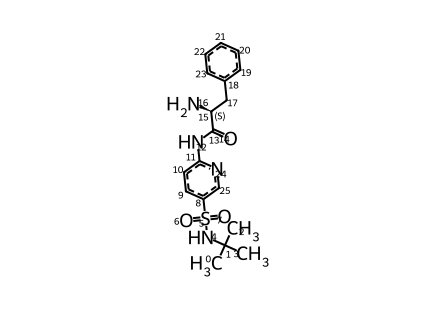 CC(C)(C)NS(=O)(=O)c1ccc(NC(=O)[C@@H](N)Cc2ccccc2)nc1